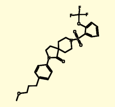 COCCCc1ccc(N2CCC3(CCN(S(=O)(=O)c4ccccc4OC(F)(F)F)CC3)C2=O)cc1